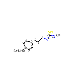 CC(=O)Nc1ccc(C=CCNC(S)=NC#N)cc1